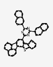 c1ccc2cc(-c3nc(-c4ccc5ccccc5c4)nc(-c4cc5c(c6sc7ccccc7c46)-c4cccc6cccc-5c46)n3)ccc2c1